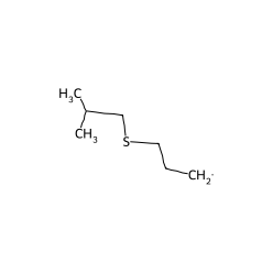 [CH2]CCSCC(C)C